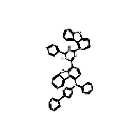 c1ccc(-c2ccc(N(c3ccccc3)c3ccc(C4=NC(c5cccc6oc7ccccc7c56)NC(c5ccccc5)N4)c4oc5ccccc5c34)cc2)cc1